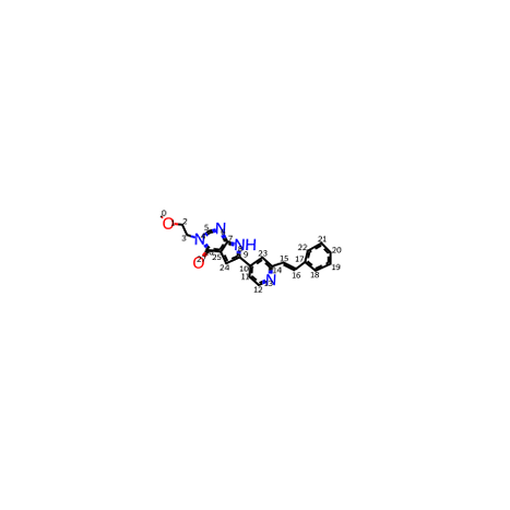 COCCn1cnc2[nH]c(-c3ccnc(C=Cc4ccccc4)c3)cc2c1=O